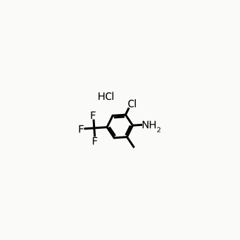 Cc1cc(C(F)(F)F)cc(Cl)c1N.Cl